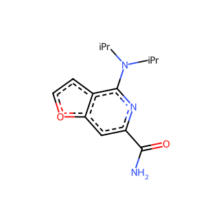 CC(C)N(c1nc(C(N)=O)cc2occc12)C(C)C